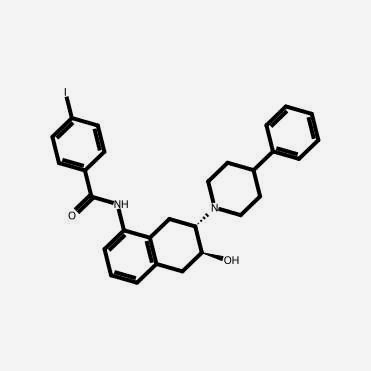 O=C(Nc1cccc2c1C[C@H](N1CCC(c3ccccc3)CC1)[C@@H](O)C2)c1ccc(I)cc1